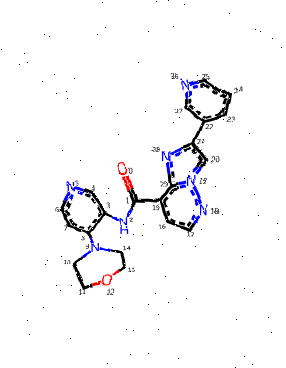 O=C(Nc1cnccc1N1CCOCC1)c1ccnn2cc(-c3cccnc3)nc12